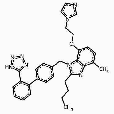 CCCCc1nc2c(C)ccc(OCCn3ccnc3)c2n1Cc1ccc(-c2ccccc2-c2nnn[nH]2)cc1